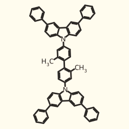 Cc1cc(-n2c3ccc(-c4ccccc4)cc3c3cc(-c4ccccc4)ccc32)ccc1-c1ccc(-n2c3ccc(-c4ccccc4)cc3c3cc(-c4ccccc4)ccc32)cc1C